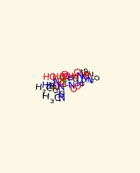 Cc1ncsc1-c1ccc([C@H](C)NC(=O)[C@@H]2C[C@@H](O)CN2C(=O)C(NC(=O)CCCNC(=O)COc2ccc3c(c2)CN(C(=O)C(NC(=O)c2cc4cc(C(F)(F)P(=O)(O)O)ccc4s2)C(C)(C)C)C(C(=O)N2CCCC(c4ccccc4)C2)C3)C(C)(C)C)cc1